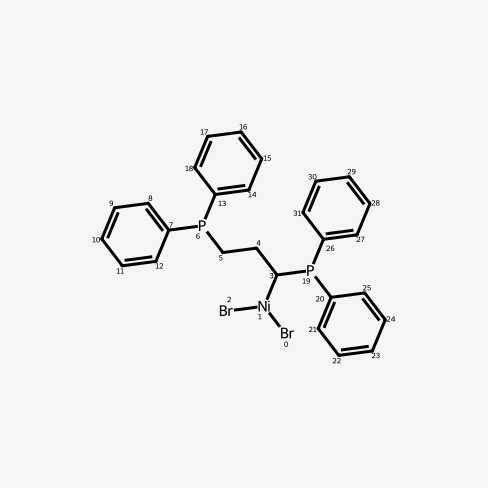 [Br][Ni]([Br])[CH](CCP(c1ccccc1)c1ccccc1)P(c1ccccc1)c1ccccc1